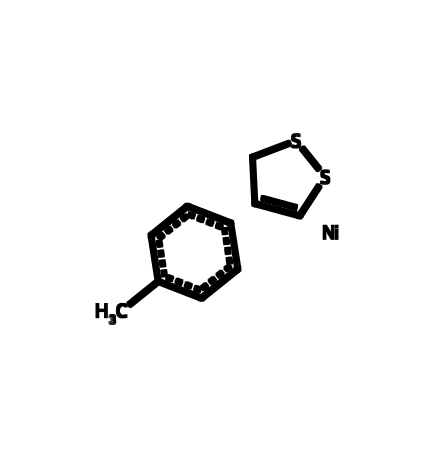 C1=CSSC1.Cc1ccccc1.[Ni]